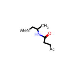 CNCC(C)NC(=O)CCC(C)=O